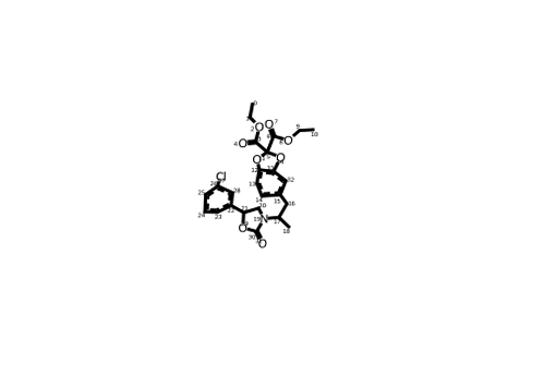 CCOC(=O)C1(C(=O)OCC)Oc2ccc(CC(C)N3CC(c4cccc(Cl)c4)OC3=O)cc2O1